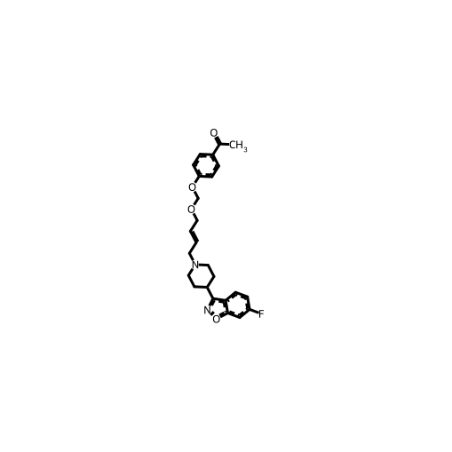 CC(=O)c1ccc(OCOC/C=C/CN2CCC(c3noc4cc(F)ccc34)CC2)cc1